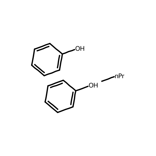 CCCC.Oc1ccccc1.Oc1ccccc1